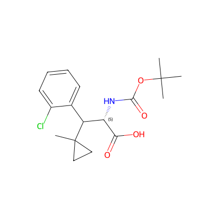 CC(C)(C)OC(=O)N[C@H](C(=O)O)C(c1ccccc1Cl)C1(C)CC1